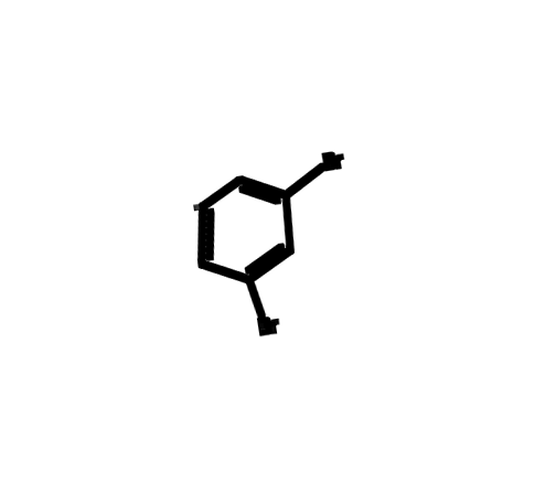 Brc1c[c]cc(Br)c1